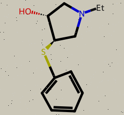 CCN1C[C@@H](O)[C@H](Sc2ccccc2)C1